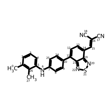 Cc1cccc(Nc2ccc(-c3ccc(C=C(C#N)C#N)c4nsnc34)cc2)c1C